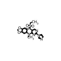 CCS(=O)(=O)Nc1cnc(-n2ccnc2)nc1N(C)c1ccc2c(c1)OCO2